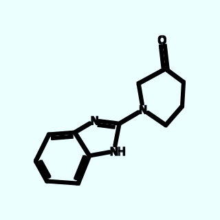 O=C1CCCN(c2nc3ccccc3[nH]2)C1